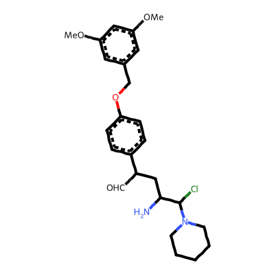 COc1cc(COc2ccc(C(C=O)CC(N)C(Cl)N3CCCCC3)cc2)cc(OC)c1